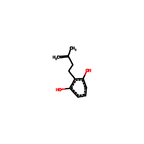 C=C(C)CCc1c(O)cccc1O